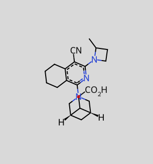 CC1CCN1c1nc(N2C[C@H]3C[C@@H](C2)C3CC(=O)O)c2c(c1C#N)CCCC2